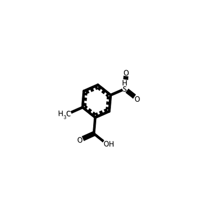 Cc1ccc([SH](=O)=O)cc1C(=O)O